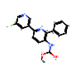 CC(C)(C)OC(O)Nc1ccc(-c2cncc(F)c2)nc1-c1ccccc1